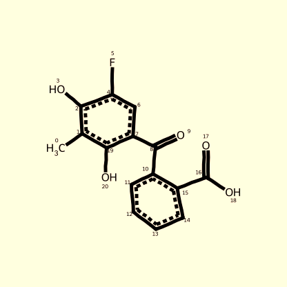 Cc1c(O)c(F)cc(C(=O)c2ccccc2C(=O)O)c1O